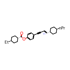 CCC[C@H]1CC[C@H](/C=C/C#Cc2ccc(OC(=O)[C@H]3CC[C@H](CC)CC3)cc2)CC1